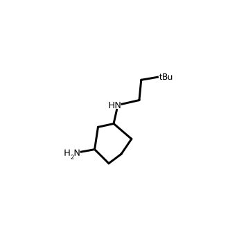 CC(C)(C)CCNC1CCCC(N)C1